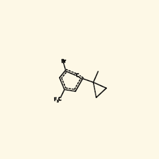 CC1(c2cc(Br)cc(C(F)(F)F)c2)CC1